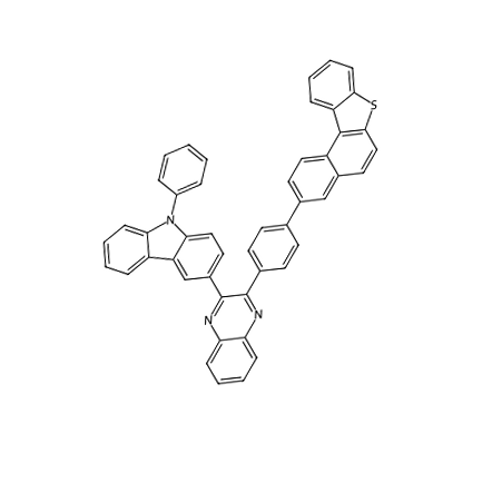 c1ccc(-n2c3ccccc3c3cc(-c4nc5ccccc5nc4-c4ccc(-c5ccc6c(ccc7sc8ccccc8c76)c5)cc4)ccc32)cc1